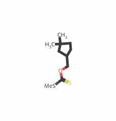 CSC(=S)OCC1CCC(C)(C)C1